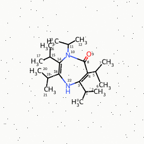 CC(C)C1=C(C(C)C)C(=O)N(C(C)C)C(C(C)C)=C(C(C)C)N1